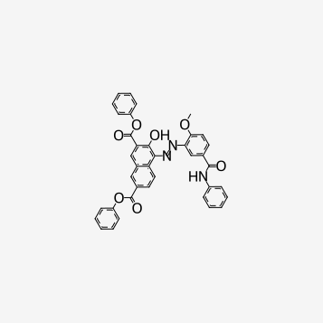 COc1ccc(C(=O)Nc2ccccc2)cc1N=Nc1c(O)c(C(=O)Oc2ccccc2)cc2cc(C(=O)Oc3ccccc3)ccc12